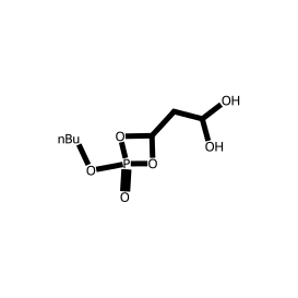 CCCCOP1(=O)OC(CC(O)O)O1